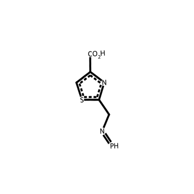 O=C(O)c1csc(CN=P)n1